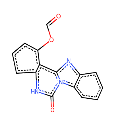 O=COc1cccc2[nH]c(=O)n3c4ccccc4nc3c12